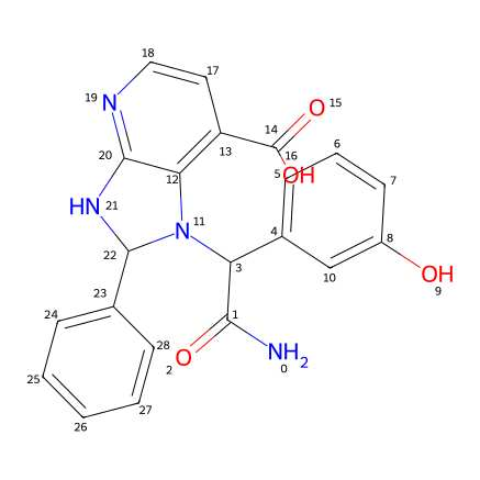 NC(=O)C(c1cccc(O)c1)N1c2c(C(=O)O)ccnc2NC1c1ccccc1